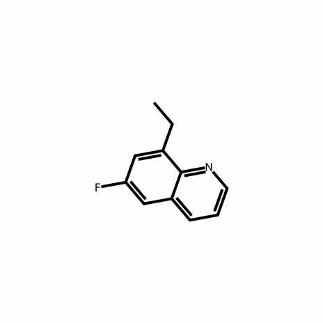 CCc1cc(F)cc2cccnc12